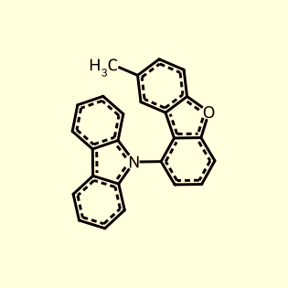 Cc1ccc2oc3cccc(-n4c5ccccc5c5ccccc54)c3c2c1